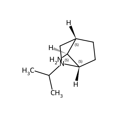 CC(C)N1C[C@@H]2CC[C@H]1[C@H]2N